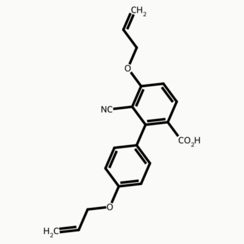 C=CCOc1ccc(-c2c(C(=O)O)ccc(OCC=C)c2C#N)cc1